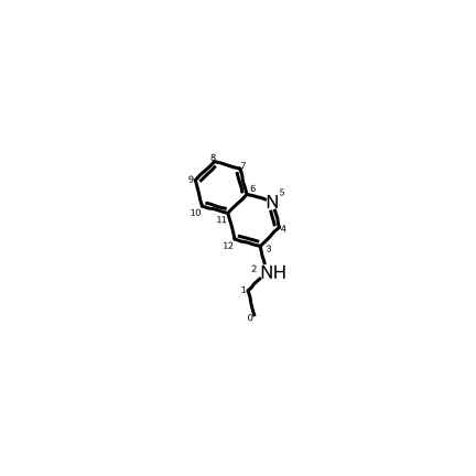 CCNc1cnc2ccccc2c1